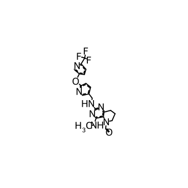 CNc1nc(NCc2ccc(Oc3ccc(C(F)(F)F)nc3)nc2)nc2c1N(C=O)CCC2